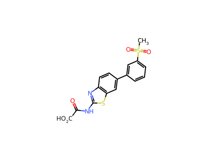 CS(=O)(=O)c1cccc(-c2ccc3nc(NC(=O)C(=O)O)sc3c2)c1